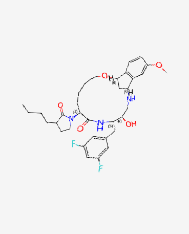 CCCCC1CCN([C@H]2CCCCO[C@@H]3C[C@H](NC[C@@H](O)[C@H](Cc4cc(F)cc(F)c4)NC2=O)c2cc(OC)ccc23)C1=O